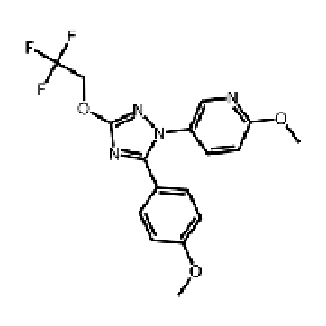 COc1ccc(-c2nc(OCC(F)(F)F)nn2-c2ccc(OC)nc2)cc1